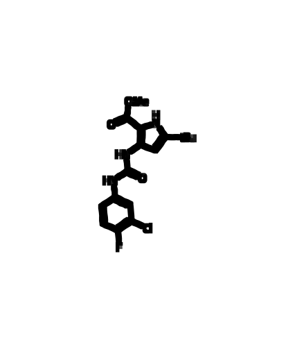 COC(=O)c1[nH]c(C(C)(C)C)cc1NC(=O)Nc1ccc(F)c(Cl)c1